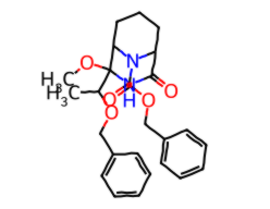 COC1(C(C)OCc2ccccc2)NC(=O)C2CCCC1N2C(=O)OCc1ccccc1